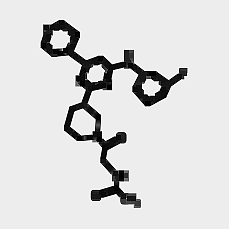 CC(=O)NCC(=O)N1CCCC(c2nc(Nc3cccc(F)c3)cc(-c3ccncc3)n2)C1